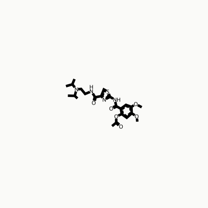 COc1cc(OC(C)=O)c(C(=O)Nc2nc(C(=O)NCCN(C(C)C)C(C)C)cs2)cc1OC